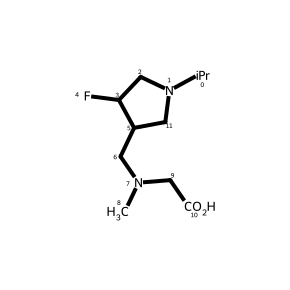 CC(C)N1CC(F)C(CN(C)CC(=O)O)C1